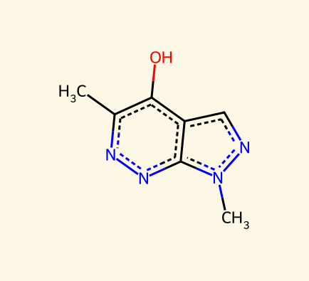 Cc1nnc2c(cnn2C)c1O